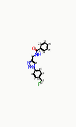 O=C(NCc1cn(-c2ccc(CF)cc2)nn1)c1ccccc1